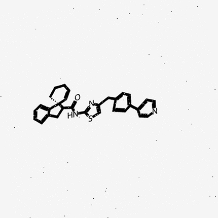 O=C(Nc1nc(Cc2ccc(-c3ccncc3)cc2)cs1)C1Cc2ccccc2[C@@]12C=CCCC2